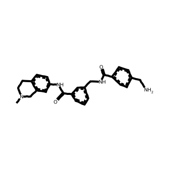 CN1CCc2ccc(NC(=O)c3cccc(CNC(=O)c4ccc(CN)cc4)c3)cc2C1